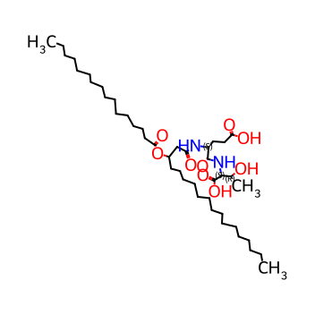 CCCCCCCCCCCCCCCC(=O)OC(CCCCCCCCCCCCCCC)CC(=O)N[C@@H](CCC(=O)O)C(=O)N[C@H](C(=O)O)[C@@H](C)O